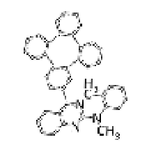 Cc1ccccc1N(C)c1nc(-c2ccc3c(c2)-c2ccccc2-c2ccccc2-c2ccccc2-3)c2ccccc2n1